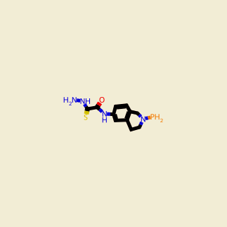 NNC(=S)C(=O)Nc1ccc2c(c1)CCN(P)C2